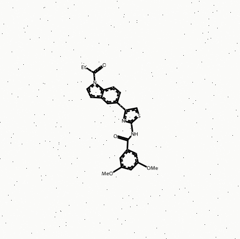 CCC(=O)n1ccc2cc(-c3csc(NC(=O)c4cc(OC)cc(OC)c4)n3)ccc21